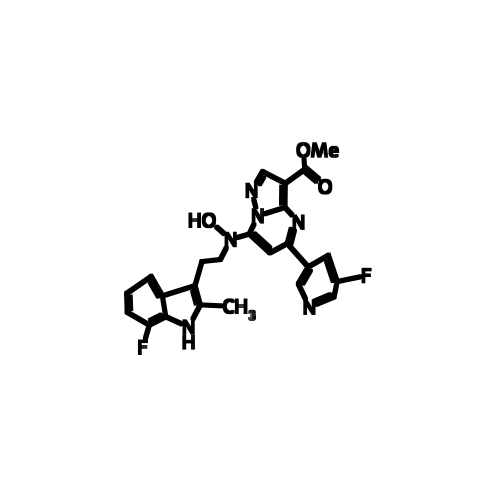 COC(=O)c1cnn2c(N(O)CCc3c(C)[nH]c4c(F)cccc34)cc(-c3cncc(F)c3)nc12